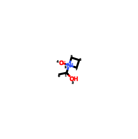 CC(O)[N+]1([O-])CCC1